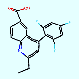 CCc1cc(-c2c(F)cc(F)cc2F)c2cc(C(=O)O)ccc2n1